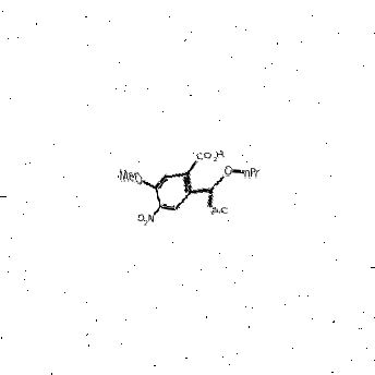 CCCOC(C(C)=O)c1cc([N+](=O)[O-])c(OC)cc1C(=O)O